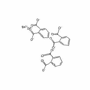 O=C([O-])c1ccccc1C(=O)[O-].O=C([O-])c1ccccc1C(=O)[O-].O=C([O-])c1ccccc1C(=O)[O-].[Ba+2].[Zr+4]